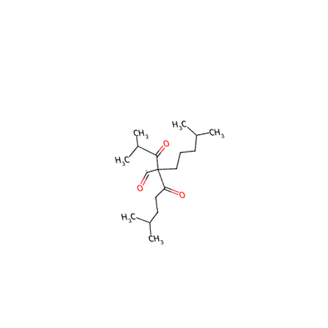 CC(C)CCCC([C]=O)(C(=O)CCC(C)C)C(=O)C(C)C